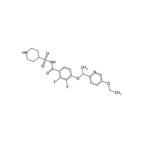 CCOc1ccc(C(C)Oc2ccc(C(=O)NS(=O)(=O)C3CCNCC3)c(F)c2F)nc1